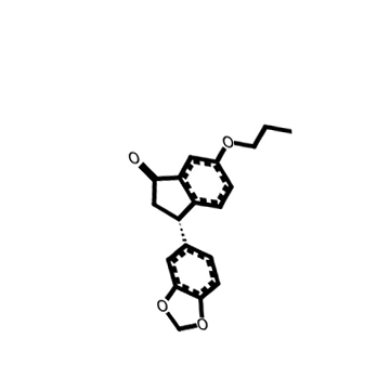 CCCOc1ccc2c(c1)C(=O)C[C@H]2c1ccc2c(c1)OCO2